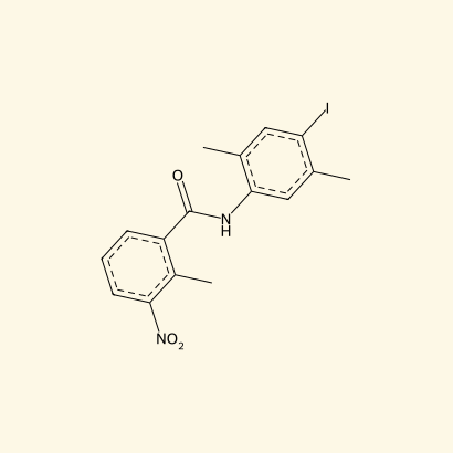 Cc1cc(NC(=O)c2cccc([N+](=O)[O-])c2C)c(C)cc1I